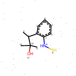 CC(c1ccccc1NS)C(C)(C)O